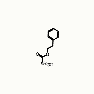 CCCCCCCC(=O)OCCc1ccccc1